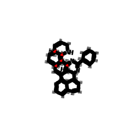 C1=CNC(c2ccc(-c3cccc4cccc(C5N=C(c6ccccc6)N=C(c6ccccc6)N5)c34)cc2)NC1